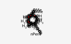 CCCCCOc1ccc(-c2ccc(-c3ccc(C(=O)N[C@H]4C[C@@H](O)[C@@H](OCC[N+](C)(C)C)NC(=O)[C@@H]5[C@@H](O)[C@@H](C)CN5C(=O)[C@H]([C@@H](C)O)NC(=O)[C@H]([C@@H]5OB(c6ccc(OC)c(OC)c6)O[C@H]5c5ccc(O)cc5)NC(=O)[C@@H]5C[C@@H](O)CN5C(=O)[C@H]([C@@H](C)O)NC4=O)cc3)cc2)cc1